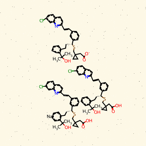 CC(C)(O)c1ccccc1CC[C@@H](SCC1(CC(=O)O)CC1)c1cccc(/C=C/c2ccc3ccc(Cl)cc3n2)c1.CC(C)(O)c1ccccc1CC[C@@H](SCC1(CC(=O)O)CC1)c1cccc(/C=C/c2ccc3ccc(Cl)cc3n2)c1.CC(C)(O)c1ccccc1CC[C@@H](SCC1(CC(=O)[O-])CC1)c1cccc(/C=C/c2ccc3ccc(Cl)cc3n2)c1.[Na+]